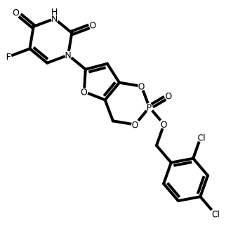 O=c1[nH]c(=O)n(-c2cc3c(o2)COP(=O)(OCc2ccc(Cl)cc2Cl)O3)cc1F